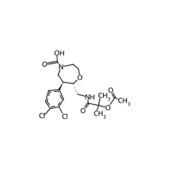 CC(=O)OC(C)(C)C(=O)NC[C@H]1OCCN(C(=O)O)C[C@@H]1c1ccc(Cl)c(Cl)c1